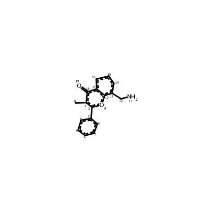 Cc1c(-c2ccccc2)oc2c(CN)cccc2c1=O